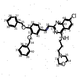 Clc1ccc2c(NCCCN3CCOCC3)nc(/C=C/c3ccc(OCc4ccccc4)c(OCc4ccccc4)c3)nc2c1